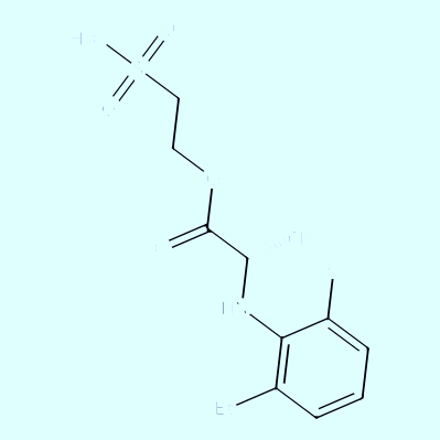 CCc1cccc(Cl)c1N[C@@H](C)C(=O)OCCS(C)(=O)=O